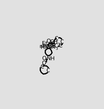 CCCCCC1(C(C)(CC)C(=O)C(C)(CC)NC2CCCCC(NC(=O)COC3CCCCCCCCCC3)CCC2)CCCCCCCCCC1